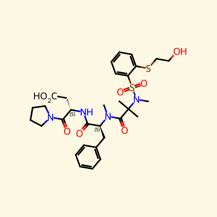 CN(C(=O)C(C)(C)N(C)S(=O)(=O)c1ccccc1SCCO)[C@@H](Cc1ccccc1)C(=O)N[C@@H](CC(=O)O)C(=O)N1CCCC1